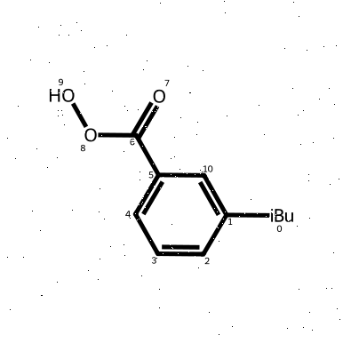 CCC(C)c1cccc(C(=O)OO)c1